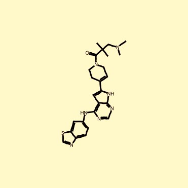 CN(C)CC(C)(C)C(=O)N1CC=C(c2cc3c(Nc4ccc5ncsc5c4)ncnc3[nH]2)CC1